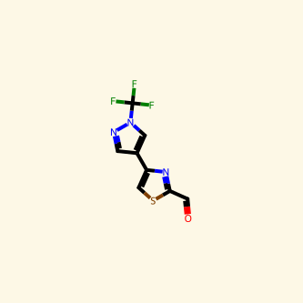 O=Cc1nc(-c2cnn(C(F)(F)F)c2)cs1